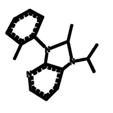 Cc1ccccc1N1c2ncccc2N(C(C)C)C1C